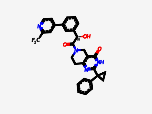 O=C([C@@H](O)c1cccc(-c2ccnc(C(F)(F)F)c2)c1)N1CCc2nc(C3(c4ccccc4)CC3)[nH]c(=O)c2C1